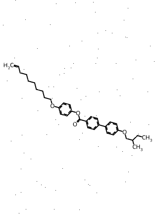 C=CCCCCCCCCOc1ccc(OC(=O)c2ccc(-c3ccc(OCC(C)CC)cc3)cc2)cc1